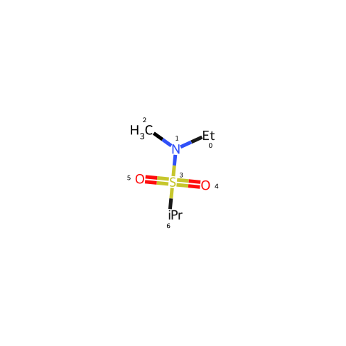 [CH2]CN(C)S(=O)(=O)C(C)C